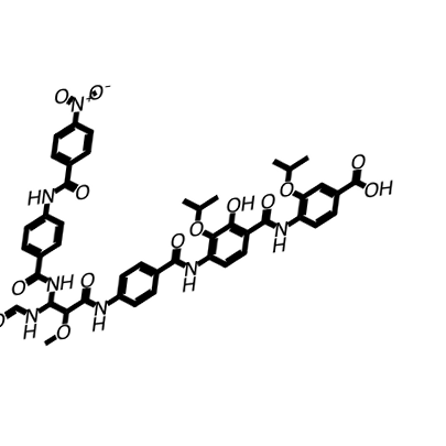 COC(C(=O)Nc1ccc(C(=O)Nc2ccc(C(=O)Nc3ccc(C(=O)O)cc3OC(C)C)c(O)c2OC(C)C)cc1)C(NC=O)NC(=O)c1ccc(NC(=O)c2ccc([N+](=O)[O-])cc2)cc1